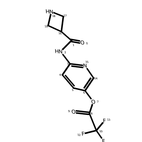 O=C(Nc1ccc(OC(=O)C(F)(F)F)cn1)C1CNC1